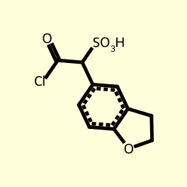 O=C(Cl)C(c1ccc2c(c1)CCO2)S(=O)(=O)O